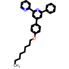 CCCCCCCCOc1ccc(-c2cc(-c3ccccc3)nc(-c3ccccn3)c2)cc1